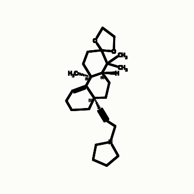 CC1(C)[C@@H]2CC[C@@]3(C#CCN4CCCC4)CCCC=C3[C@@]2(C)CCC12OCCO2